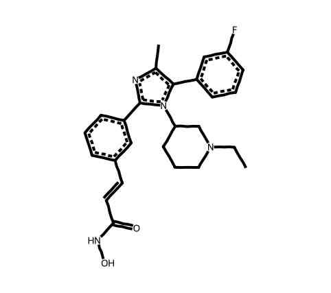 CCN1CCCC(n2c(-c3cccc(C=CC(=O)NO)c3)nc(C)c2-c2cccc(F)c2)C1